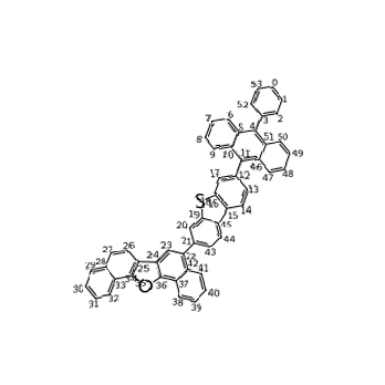 c1ccc(-c2c3ccccc3c(-c3ccc4c(c3)sc3cc(-c5cc6c7ccc8ccccc8c7oc6c6ccccc56)ccc34)c3ccccc23)cc1